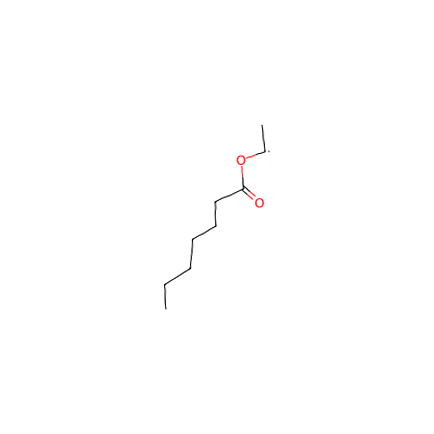 C[CH]OC(=O)CCCCCC